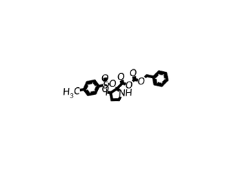 Cc1ccc(S(=O)(=O)O[C@]2(C(=O)OC(=O)OCc3ccccc3)NCCC2I)cc1